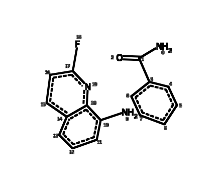 NC(=O)c1ccccc1.Nc1cccc2ccc(F)nc12